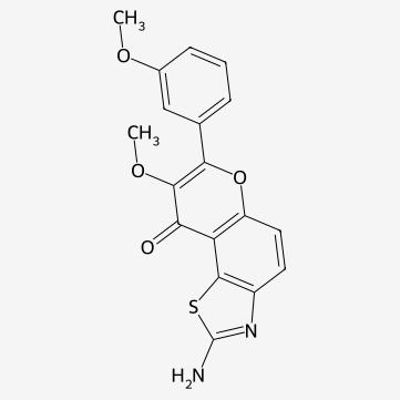 COc1cccc(-c2oc3ccc4nc(N)sc4c3c(=O)c2OC)c1